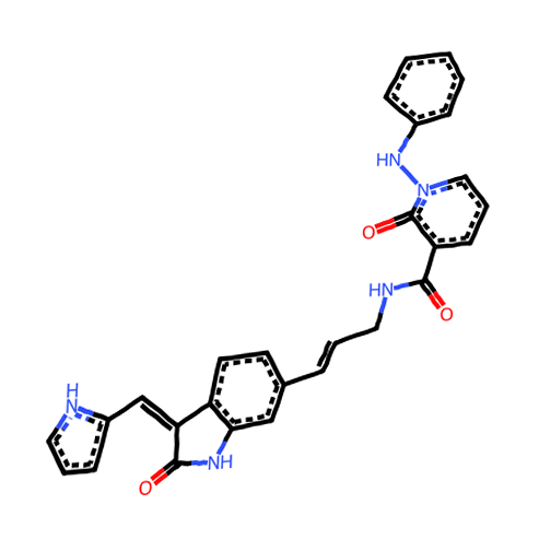 O=C1Nc2cc(/C=C/CNC(=O)c3cccn(Nc4ccccc4)c3=O)ccc2/C1=C/c1ccc[nH]1